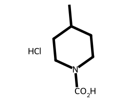 CC1CCN(C(=O)O)CC1.Cl